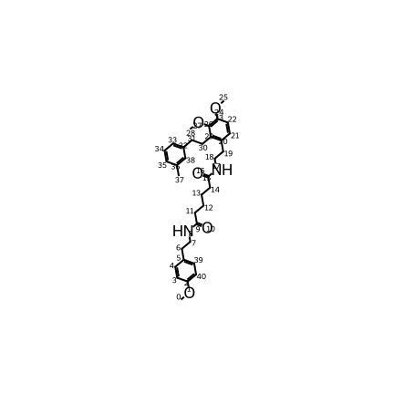 COc1ccc(CCNC(=O)CCCCC(=O)NCCc2ccc(OC)c(OC)c2CCc2cccc(C)c2)cc1